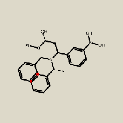 CCO[C@H](O)CC(c1cccc(B(O)O)c1)N(Cc1ccccc1)[C@H](C)c1ccccc1